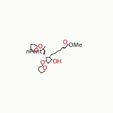 CCCCCC(C)(/C=C/[C@@H]1[C@@H](CCCC/C=C/C(=O)OC)[C@@H](O)C[C@H]1OC1CCCCO1)OC1CCCCO1